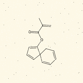 C=C(C)C(=O)OC1=CC=CC12C=CC=CC2